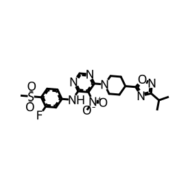 CC(C)c1noc(C2CCN(c3ncnc(Nc4ccc(S(C)(=O)=O)c(F)c4)c3[N+](=O)[O-])CC2)n1